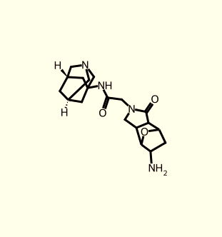 NC1CC2OC1C1CN(CC(=O)NC34C[C@@H]5C[C@@H](CN(C5)C3)C4)C(=O)C21